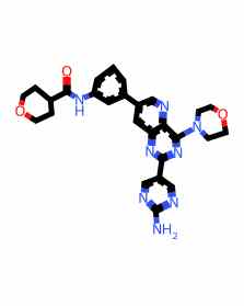 Nc1ncc(-c2nc(N3CCOCC3)c3ncc(-c4cccc(NC(=O)C5CCOCC5)c4)cc3n2)cn1